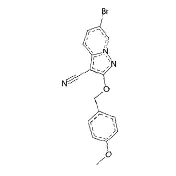 COc1ccc(COc2nn3cc(Br)ccc3c2C#N)cc1